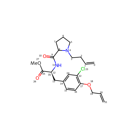 C=CCCN1CCCC1C(=O)N[C@@H](Cc1ccc(OCC=C)c(Cl)c1)C(=O)OC